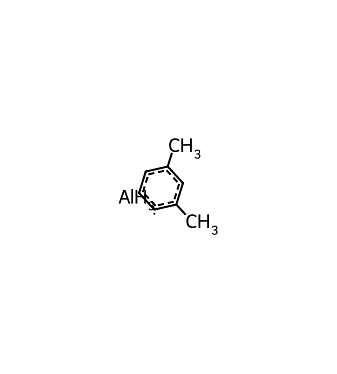 Cc1[c]ccc(C)c1.[AlH3]